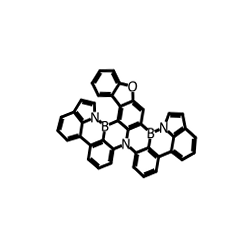 c1cc2c3c(c1)N1c4cccc5c4B(c4c1c(cc1oc6ccccc6c41)B3n1ccc3cccc-2c31)n1ccc2cccc-5c21